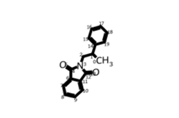 CC(CN1C(=O)c2ccccc2C1=O)c1ccccc1